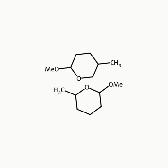 COC1CCC(C)CO1.COC1CCCC(C)O1